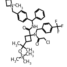 CC(C)(O[Si](C)(C)C)C1CC(C(=O)NC(c2ccccc2)c2ccc(C[N+]3(C)CCC3)cc2)(N(Cc2ccc(C(F)(F)F)cc2)C(=O)CCl)C1